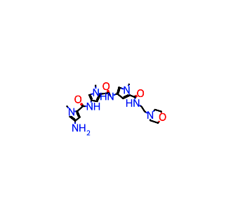 Cn1cc(NC(=O)c2cc(NC(=O)c3cc(N)cn3C)cn2C)cc1C(=O)NCCN1CCOCC1